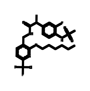 CCCCCCOc1nc(C(F)(F)Cl)ccc1CNC(=O)C(C)c1ccc(NS(C)(=O)=O)c(F)c1